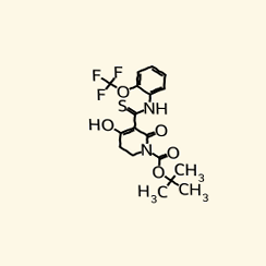 CC(C)(C)OC(=O)N1CCC(O)=C(C(=S)Nc2ccccc2OC(F)(F)F)C1=O